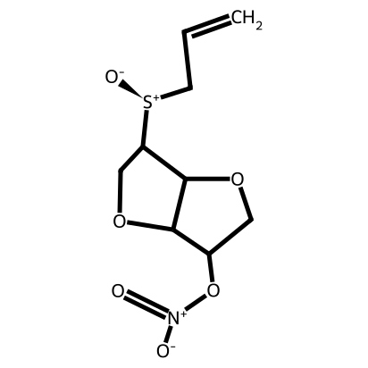 C=CC[S@+]([O-])C1COC2C(O[N+](=O)[O-])COC21